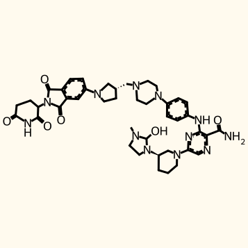 CN1CCN([C@@H]2CCCN(c3cnc(C(N)=O)c(Nc4ccc(N5CCN(C[C@@H]6CCN(c7ccc8c(c7)C(=O)N(C7CCC(=O)NC7=O)C8=O)C6)CC5)cc4)n3)C2)C1O